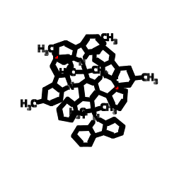 Cc1ccc2c(c1)c1cc(C)ccc1n2-c1c(-c2ccccc2F)c(C(C)(C)n2c3ccccc3c3ccccc32)c(-c2ccccc2F)c(-n2c3ccc(C)cc3c3cc(C)ccc32)c1C(C)(C)n1c2ccccc2c2ccccc21